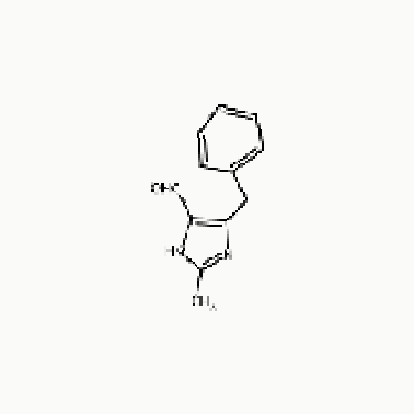 Cc1nc(Cc2ccccc2)c(C=O)[nH]1